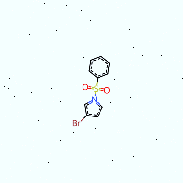 O=S(=O)(c1ccccc1)n1ccc(Br)c1